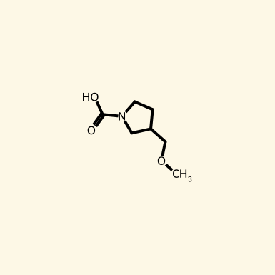 COCC1CCN(C(=O)O)C1